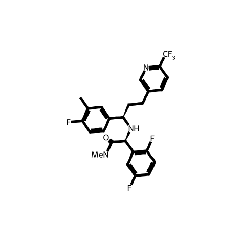 CNC(=O)[C@@H](N[C@H](CCc1ccc(C(F)(F)F)nc1)c1ccc(F)c(C)c1)c1cc(F)ccc1F